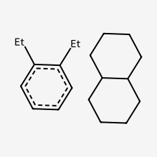 C1CCC2CCCCC2C1.CCc1ccccc1CC